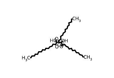 CCCCCCCCCCCCCCCC(=O)C(O)C(O)(C(=O)CCCCCCCCCCCCC)C(O)C(=O)CCCCCCCCCCCCC